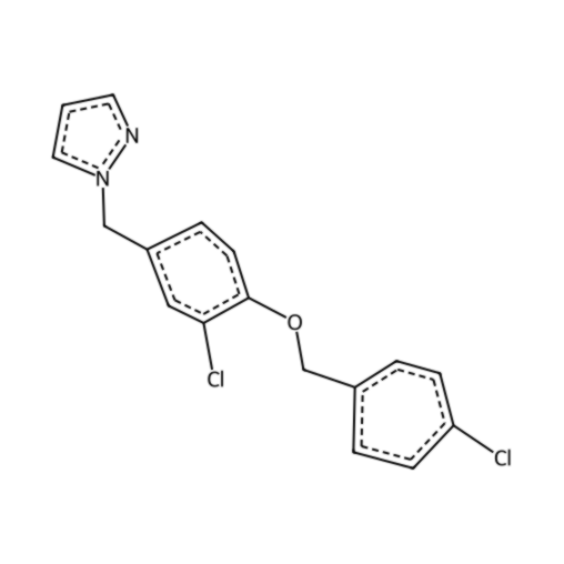 Clc1ccc(COc2ccc(Cn3cccn3)cc2Cl)cc1